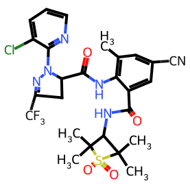 Cc1cc(C#N)cc(C(=O)NC2C(C)(C)S(=O)(=O)C2(C)C)c1NC(=O)C1CC(C(F)(F)F)=NN1c1ncccc1Cl